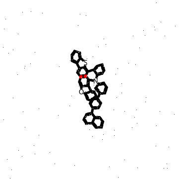 c1cc(-c2ccc(-c3cccc4ccccc34)cc2)cc(N(c2ccccc2-c2cccc3c2sc2ccccc23)c2cccc3oc4ccccc4c23)c1